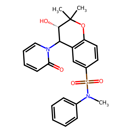 CN(c1ccccc1)S(=O)(=O)c1ccc2c(c1)C(n1ccccc1=O)[C@H](O)C(C)(C)O2